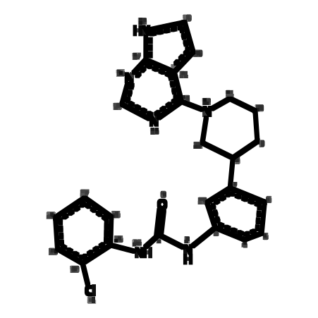 O=C(Nc1cccc(C2CCCN(c3ncnc4[nH]ccc34)C2)c1)Nc1ccccc1Cl